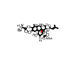 CC[C@H](C)[C@H](N)C(=O)OC1=C(C)[C@@H]2C[C@H]3OC(=O)[C@H](OC(=O)C=C(C)C)[C@H]4[C@]5(C(=O)OC)OC[C@]34C([C@@H](O)[C@@H]5O)[C@@]2(C)CC1=O